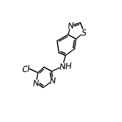 Clc1cc(Nc2ccc3ncsc3c2)ncn1